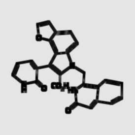 O=C(O)c1c(-c2ccc[nH]c2=O)c2c3occc3ccc2n1Cc1[nH]c(=O)cc2ccccc12